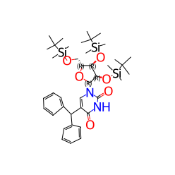 CC(C)(C)[Si](C)(C)OC[C@H]1O[C@@H](n2cc(C(c3ccccc3)c3ccccc3)c(=O)[nH]c2=O)[C@H](O[Si](C)(C)C(C)(C)C)[C@@H]1O[Si](C)(C)C(C)(C)C